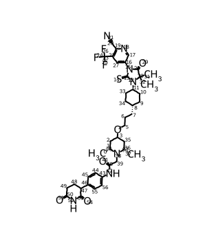 C[C@@H]1CC(OCCC[C@H]2CC[C@H](N3C(=S)N(c4cnc(C#N)c(C(F)(F)F)c4)C(=O)C3(C)C)CC2)C[C@H](C)N1CC(=O)Nc1ccc(C2CCC(=O)NC2=O)cc1